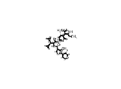 CCc1[nH]nc(C)c1-c1ccc(NC(=O)[C@@H](NC(=O)c2cnn(C3CCOCC3)c2C)C(C2CC2)C2CC2)nc1F